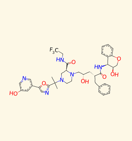 CC(C)(c1ncc(-c2cncc(O)c2)o1)N1CCN(C[C@@H](O)C[C@@H](Cc2ccccc2)C(=O)N[C@H]2c3ccccc3OC[C@H]2O)[C@H](C(=O)NCC(F)(F)F)C1